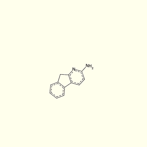 Nc1ccc2c(n1)Cc1ccccc1-2